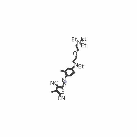 CCN(CCOCC[N+](CC)(CC)CC)c1ccc(/N=N/c2sc(C#N)c(C)c2C#N)c(C)c1